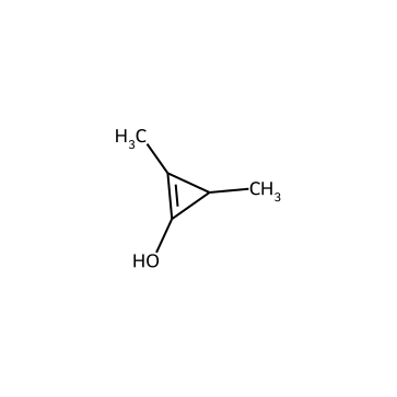 CC1=C(O)C1C